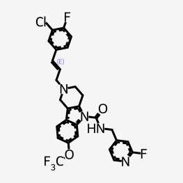 O=C(NCc1ccnc(F)c1)n1c2c(c3ccc(OC(F)(F)F)cc31)CN(C/C=C/c1ccc(F)c(Cl)c1)CC2